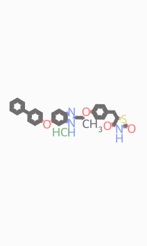 CC(Oc1ccc(CC2SC(=O)NC2=O)cc1)c1nc2ccc(Oc3ccc(-c4ccccc4)cc3)cc2[nH]1.Cl